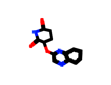 O=C1CCC(Oc2cnc3ccccc3n2)C(=O)N1